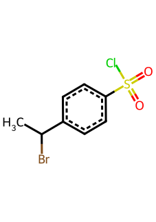 CC(Br)c1ccc(S(=O)(=O)Cl)cc1